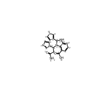 NC(=O)CC(N1c2c(C(=O)O)ccnc2NC1c1ccsc1)n1ccnc1